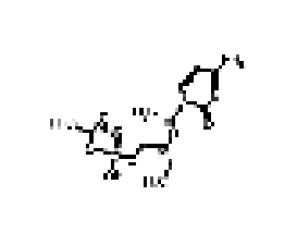 CC[C@@H](COP(=O)(O)OC(C)C)O[C@H](C)n1ccc(N)nc1=O